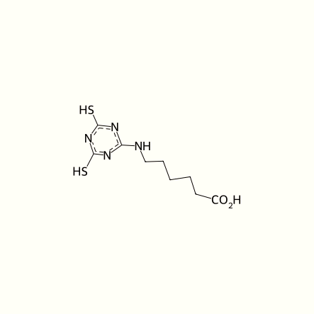 O=C(O)CCCCCNc1nc(S)nc(S)n1